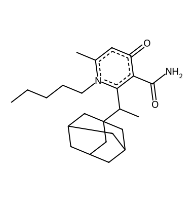 CCCCCn1c(C)cc(=O)c(C(N)=O)c1C(C)C12CC3CC(CC(C3)C1)C2